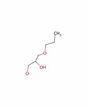 CCCOCC(O)C[O]